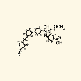 COCCn1c(C(C)c2ccc(-c3cccc(OCc4ccc(C#N)cc4F)n3)cc2)nc2ccc(C(=O)O)cc21